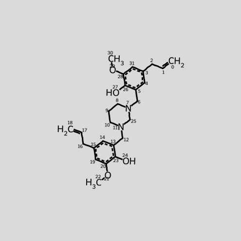 C=CCc1cc(CN2CCCN(Cc3cc(CC=C)cc(OC)c3O)C2)c(O)c(OC)c1